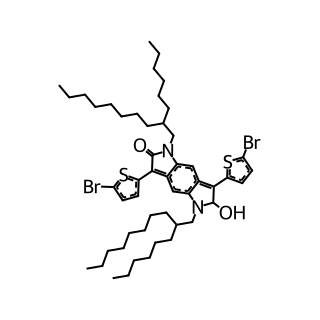 CCCCCCCCC(CCCCCC)CN1C(=O)C(c2ccc(Br)s2)=c2cc3c(cc21)=C(c1ccc(Br)s1)C(O)N3CC(CCCCCC)CCCCCCCC